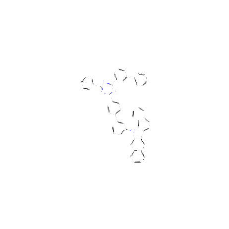 c1ccc(-c2cccc(-c3nc(-c4ccccc4)nc(-c4ccc(-c5cccc(-n6c7cc8ccccc8cc7c7ccc8ccccc8c76)c5)cc4)n3)c2)cc1